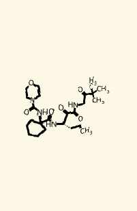 CCC[C@H](NC(=O)C1(NC(=O)N2CCOCC2)CCCCC1)C(=O)C(=O)NCC(=O)C(C)(C)C